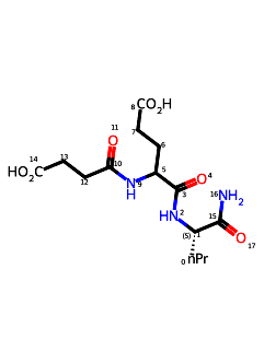 CCC[C@H](NC(=O)C(CCC(=O)O)NC(=O)CCC(=O)O)C(N)=O